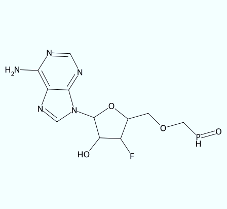 Nc1ncnc2c1ncn2C1OC(COC[PH]=O)C(F)C1O